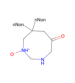 CCCCCCCCCC1(CCCCCCCCC)CC(=O)CNC[NH+]([O-])C1